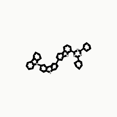 c1ccc(-c2nc(-c3ccccc3)nc(-c3cccc4c3oc3cc(-c5ccc6sc7ccc(-n8c9ccccc9c9ccccc98)cc7c6c5)ccc34)n2)cc1